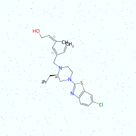 C=C/C(=C\C(C)=C/CO)CN1CCN(c2nc3ccc(Cl)cc3s2)C[C@H]1CC(C)C